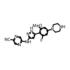 COc1cc(N2CCNCC2)cc(F)c1-c1cc(Nc2cnc(C#N)cn2)n[nH]1